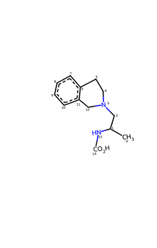 CC(CN1CCc2ccccc2C1)NC(=O)O